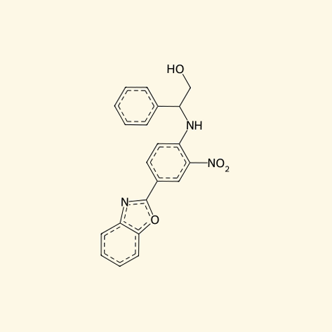 O=[N+]([O-])c1cc(-c2nc3ccccc3o2)ccc1NC(CO)c1ccccc1